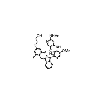 COc1cnc(-c2nn(Cc3c(F)cc(OCCO)cc3F)c3ccccc23)nc1Nc1cc(NC(C)=O)ncc1C